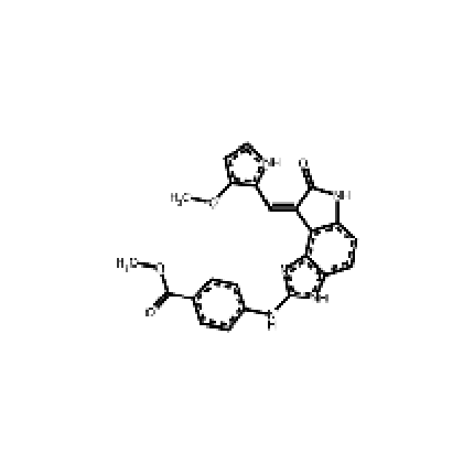 COC(=O)c1ccc(Nc2nc3c4c(ccc3[nH]2)NC(=O)C4=Cc2[nH]ccc2OC)cc1